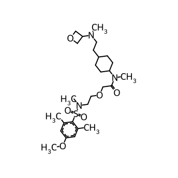 COc1cc(C)c(S(=O)(=O)N(C)CCOCC(=O)N(C)C2CCC(CCN(C)C3COC3)CC2)c(C)c1